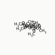 C=CC(=O)OOC(COCC)(OC(=O)OC(COCC)(OOC(=O)C=C)C(C)(C)CC)C(C)(C)CC